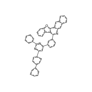 c1ccc(-c2ccc(-c3cc(-c4cccc(-c5nc6cc7ccccc7cc6c6oc7ccccc7c56)c4)nc(-c4ccccc4)n3)cc2)cc1